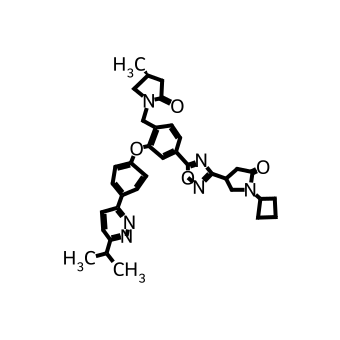 CC(C)c1ccc(-c2ccc(Oc3cc(-c4nc(C5CC(=O)N(C6CCC6)C5)no4)ccc3CN3C[C@@H](C)CC3=O)cc2)nn1